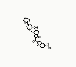 O=CNc1ccc2oc(C(=O)c3cc4c(CN5CCN(c6ncccn6)CC5)c(O)ccc4[nH]3)cc2c1